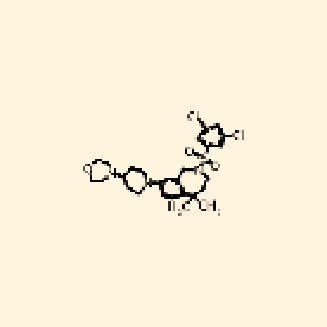 CC1(C)CCN(S(=O)(=O)c2cc(Cl)cc(Cl)c2)Cc2cc(N3CCC(N4CCOCC4)CC3)ccc21